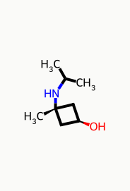 CC(C)N[C@]1(C)C[C@@H](O)C1